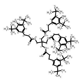 CC(C)(C)c1cc(CCC(=O)OCC(COC(=O)CCc2cc(C(C)(C)C)c(O)c(C(C)(C)C)c2)(COC(=O)CCc2cc(C(C)(C)C)c(O)c(C(C)(C)C)c2)COC(=O)CCc2cc(C(C)(C)C)c(O)c(C(C)(C)C)c2)cc(C(C)(C)C)c1